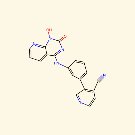 N#Cc1ccncc1-c1cccc(Nc2nc(=O)n(O)c3ncccc23)c1